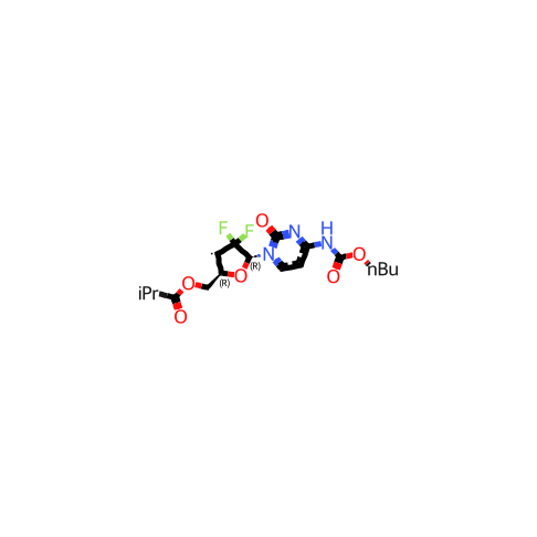 CCCCOC(=O)Nc1ccn([C@@H]2O[C@@H](COC(=O)C(C)C)[CH]C2(F)F)c(=O)n1